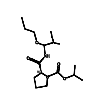 CCCOC(NC(=O)[C@@H]1CCCN1C(=O)OC(C)C)C(C)C